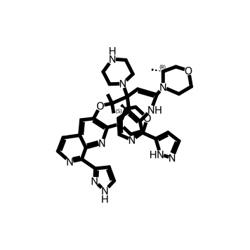 C[C@@H]1COCCN1C1=CC(N2CCNCC2)(C(C)(C)Oc2cc3ccnc(-c4cc[nH]n4)c3nc2N2CCOC[C@@H]2C)c2ccnc(-c3ccn[nH]3)c2N1